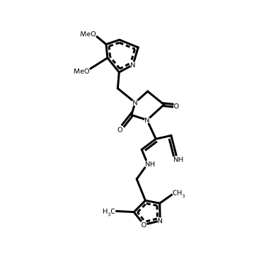 COc1ccnc(CN2CC(=O)N(/C(C=N)=C/NCc3c(C)noc3C)C2=O)c1OC